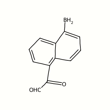 Bc1cccc2c(C(=O)C=O)cccc12